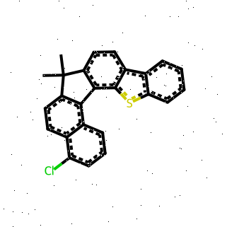 CC1(C)c2ccc3c(Cl)cccc3c2-c2c1ccc1c2sc2ccccc21